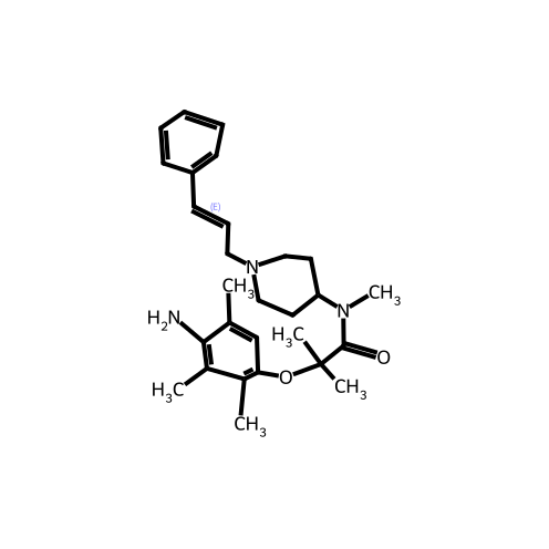 Cc1cc(OC(C)(C)C(=O)N(C)C2CCN(C/C=C/c3ccccc3)CC2)c(C)c(C)c1N